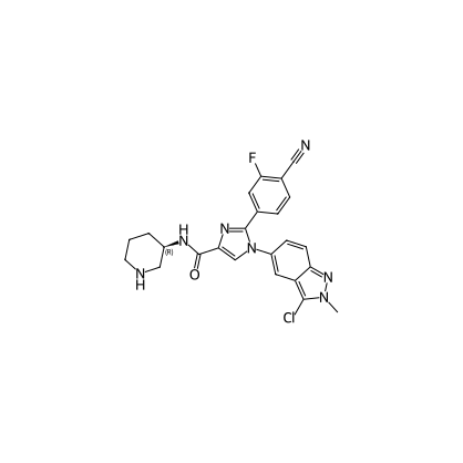 Cn1nc2ccc(-n3cc(C(=O)N[C@@H]4CCCNC4)nc3-c3ccc(C#N)c(F)c3)cc2c1Cl